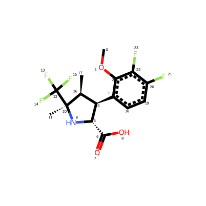 COc1c([C@H]2[C@H](C(=O)O)N[C@@](C)(C(F)(F)F)[C@H]2C)ccc(F)c1F